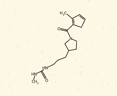 CNC(=O)NCCCC1CCN(C(=O)C2=C(C)C=CC2)C1